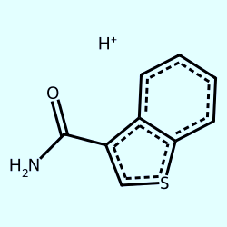 NC(=O)c1csc2ccccc12.[H+]